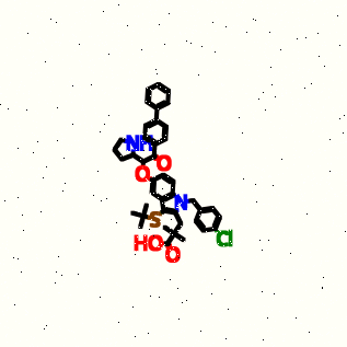 CC(C)(C)Sc1c(CC(C)(C)C(=O)O)n(Cc2ccc(Cl)cc2)c2ccc(OC(C(=O)c3ccc(-c4ccccc4)cc3)C3CCCN3)cc12